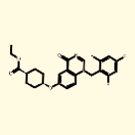 CCOC(=O)[C@H]1CC[C@@H](Oc2ccc3c(c2)c(=O)ncn3Cc2c(F)cc(F)cc2F)CC1